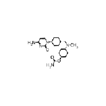 CN(C[C@H]1CC[C@H](n2ccc(N)nc2=O)CC1)[C@H]1CC[C@H](OC(N)=O)CC1